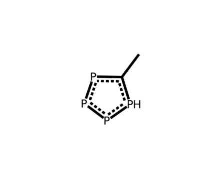 Cc1ppp[pH]1